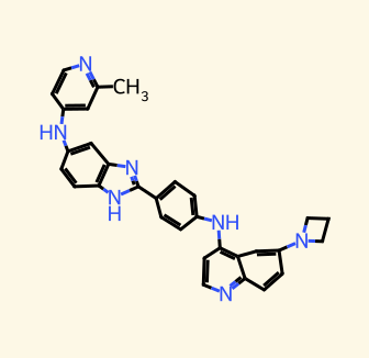 Cc1cc(Nc2ccc3[nH]c(-c4ccc(Nc5ccnc6ccc(N7CCC7)cc56)cc4)nc3c2)ccn1